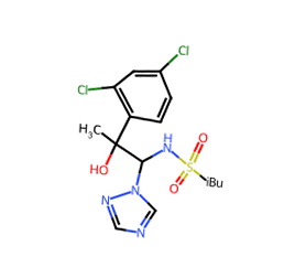 CCC(C)S(=O)(=O)NC(n1cncn1)C(C)(O)c1ccc(Cl)cc1Cl